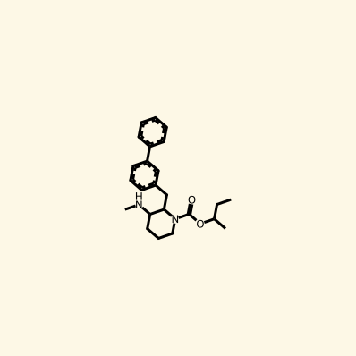 CCC(C)OC(=O)N1CCCC(NC)C1Cc1cccc(-c2ccccc2)c1